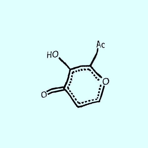 CC(=O)c1occc(=O)c1O